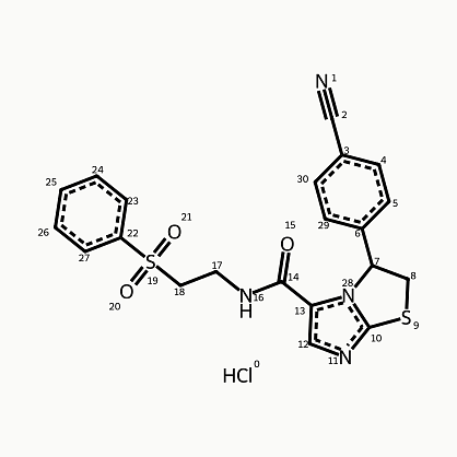 Cl.N#Cc1ccc(C2CSc3ncc(C(=O)NCCS(=O)(=O)c4ccccc4)n32)cc1